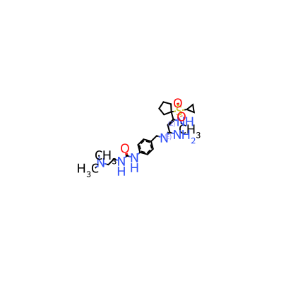 CN/C(=C\C(N)=N/Cc1ccc(NC(=O)NCCN(C)C)cc1)C1(S(=O)(=O)C2CC2)CCCC1